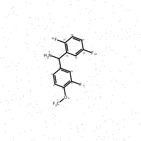 NC(c1ccc(OC(F)(F)F)c(F)c1)c1cc(F)ccc1F